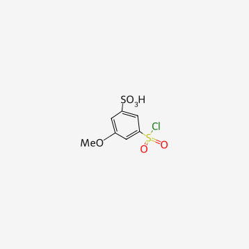 COc1cc(S(=O)(=O)O)cc(S(=O)(=O)Cl)c1